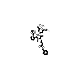 CCCCCCCCCCCCC[C@@H](CC(N)=O)OC(=O)[C@H](CCCC(=O)OCc1ccccc1)NC(=O)[C@@H]1CCCN1C(=O)OC(C)(C)C